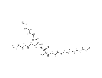 CCCCCCCCCCCCCCC(C)C(=O)OCC(CCCCCCCC)CCCCCCCC